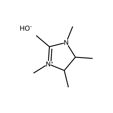 CC1=[N+](C)C(C)C(C)N1C.[OH-]